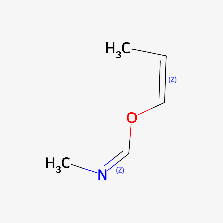 C/C=C\O/C=N\C